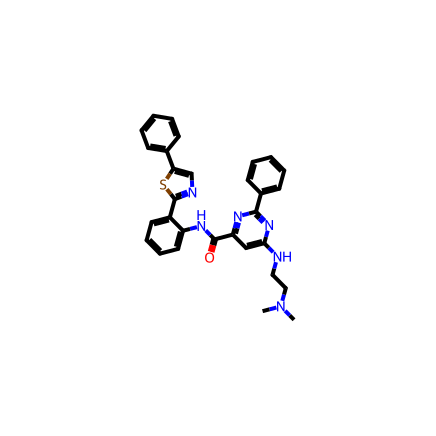 CN(C)CCNc1cc(C(=O)Nc2ccccc2-c2ncc(-c3ccccc3)s2)nc(-c2ccccc2)n1